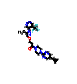 C[C@@H](COCCC(=O)N1CCN(c2ncc(C3CC3)cn2)CC1)Nc1cnncc1C(F)(F)F